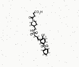 O=C(O)CCC(=O)N1CCC(CNS(=O)(=O)CC=Cc2cc(S(=O)(=O)c3ccccc3)ccc2C(F)(F)F)CC1